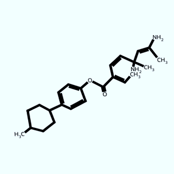 C/C=C(\C=C/C(C)(N)/C=C(\C)N)C(=O)Oc1ccc(C2CCC(C)CC2)cc1